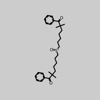 CC(C)(CCCCC[S+]([O-])CCCCCC(C)(C)C(=O)c1ccccc1)C(=O)c1ccccc1